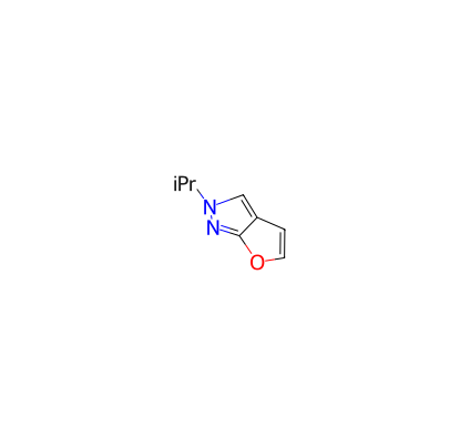 CC(C)n1cc2ccoc2n1